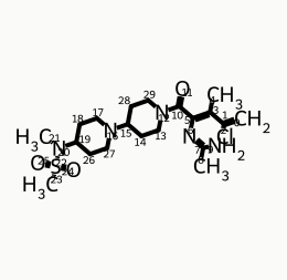 C=C(Cl)/C(C)=C(\N=C(\C)N)C(=O)N1CCC(N2CCC(N(C)S(C)(=O)=O)CC2)CC1